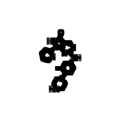 Cc1cc(Nc2ncc3c(=O)[nH]n(-c4ccccn4)c3n2)ccc1N1CCNCC1